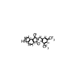 O=C1c2cnc3[nH]ncc3c2C(=O)N1Cc1cc(C(F)(F)F)cc(C(F)(F)F)c1